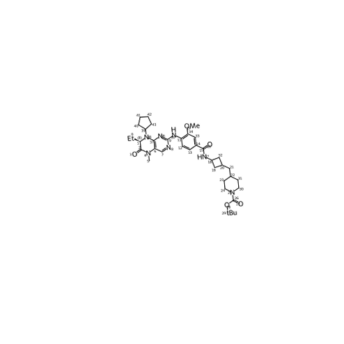 CC[C@@H]1C(=O)N(C)c2cnc(Nc3ccc(C(=O)NC4CC(CC5CCN(C(=O)OC(C)(C)C)CC5)C4)cc3OC)nc2N1C1CCCC1